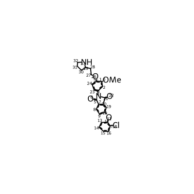 COc1cc(N2C(=O)c3ccc(Oc4ccccc4Cl)cc3C2=O)ccc1OCCC1CCCN1